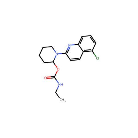 CCNC(=O)OC1CCCCN1c1ccc2c(Cl)cccc2n1